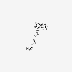 CCCCCCCCOCC12CCC(CC1=O)C2(C)C